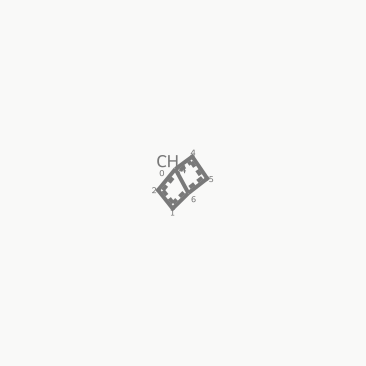 C.c1cc2ccc1-2